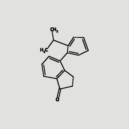 CC(C)c1ccccc1-c1cccc2c1CCC2=O